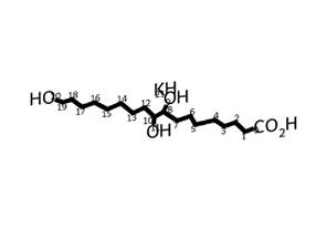 O=C(O)CCCCCCCC(O)C(O)CCCCCCCCO.[KH]